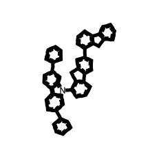 c1ccc(-c2ccc3c4ccc(-c5ccccc5)cc4n(-c4cccc5c4Cc4cc(-c6cccc7c6Cc6ccccc6-7)ccc4-5)c3c2)cc1